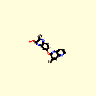 CCc1cc2ncccc2nc1Oc1ccc2nc(C(C)C)c(O)nc2c1